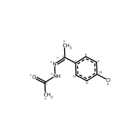 CC(=O)N/N=C(/C)c1ccc(Cl)cc1